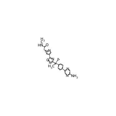 CNC(=O)Cn1cc(-c2nc([C@@](C)(c3ccc(-c4cnc(N)cn4)cc3)C3CC3)no2)cn1